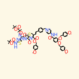 COc1ccc(COC(=O)C2=C(/C=C/c3ccc(C[n+]4ccc(NC(=O)c5ccc(OCc6ccc(OC)cc6)c(OCc6ccc(OC)cc6)c5)cc4)cc3)CS[C@@H]3[C@H](NC(=O)/C(=N\OC(C)(C)C(=O)OC(C)(C)C)c4csc(NC(=O)OC(C)(C)C)n4)C(=O)N23)cc1